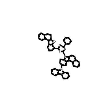 c1ccc(-c2nc(-c3cccc4c3oc3ccc5ccccc5c34)nc(-n3c4ccc(-n5c6ccccc6c6ccccc65)cc4c4c5ccccc5ccc43)n2)cc1